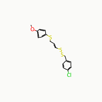 COc1ccc(SC/C=C/SSCc2ccc(Cl)cc2)cc1